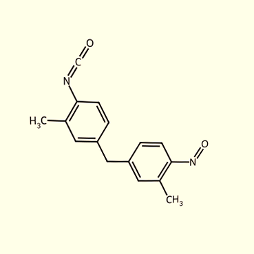 Cc1cc(Cc2ccc(N=C=O)c(C)c2)ccc1N=O